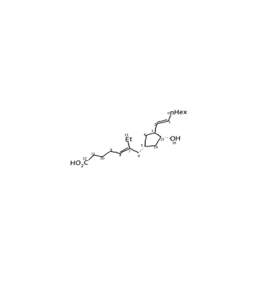 CCCCCC/C=C/C1C[C@@H](C/C(=C/CCCC(=O)O)CC)C[C@H]1O